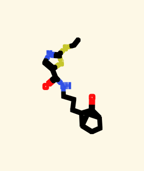 CCSc1ncc(C(=O)NCCCC2C(=O)C3CCC2C3)s1